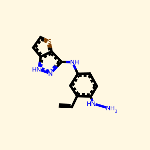 C=Cc1cc(Nc2n[nH]c3ccsc23)ccc1NN